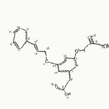 O=C(O)COc1cc(CC(=O)O)cc(OCC=Cc2ccccc2)c1